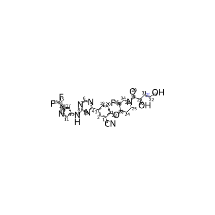 N#Cc1cc(-c2ncnc(Nc3cnn(C(F)F)c3)n2)ccc1O[C@H]1CCN(C(=O)C(O)/C=C/O)C[C@H]1F